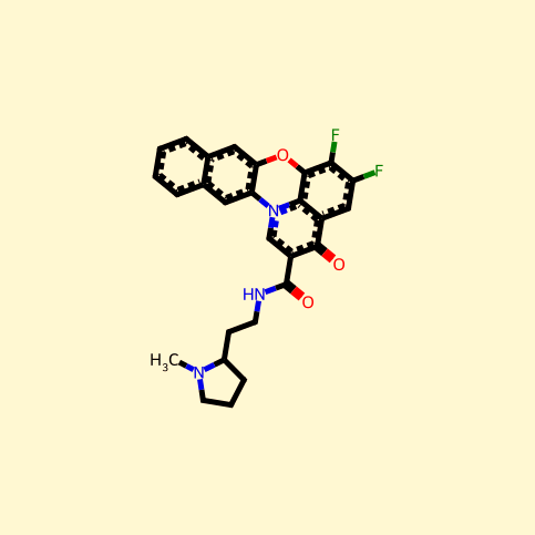 CN1CCCC1CCNC(=O)c1cn2c3c(c(F)c(F)cc3c1=O)Oc1cc3ccccc3cc1-2